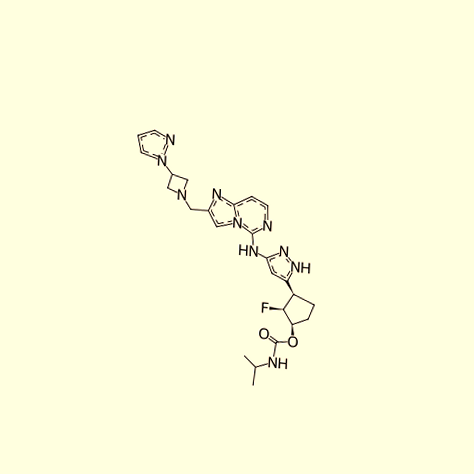 CC(C)NC(=O)O[C@@H]1CC[C@H](c2cc(Nc3nccc4nc(CN5CC(n6cccn6)C5)cn34)n[nH]2)[C@@H]1F